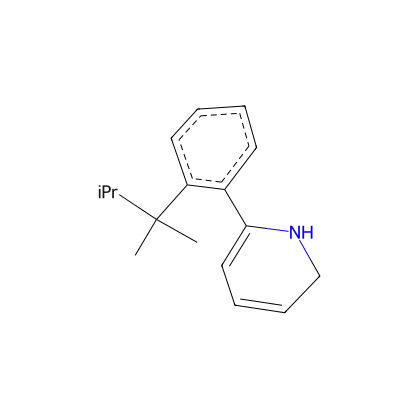 CC(C)C(C)(C)c1ccccc1C1=CC=CCN1